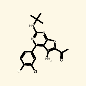 CC(=O)c1sc2nc(NC(C)(C)C)nc(-c3ccc(Cl)c(Cl)c3)c2c1N